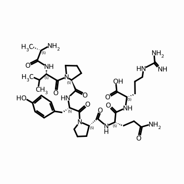 CC(C)[C@H](NC(=O)[C@H](C)N)C(=O)N1CCC[C@H]1C(=O)N[C@@H](Cc1ccc(O)cc1)C(=O)N1CCC[C@H]1C(=O)N[C@@H](CCC(N)=O)C(=O)N[C@@H](CCCNC(=N)N)C(=O)O